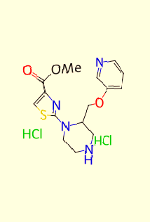 COC(=O)c1csc(N2CCNCC2COc2cccnc2)n1.Cl.Cl